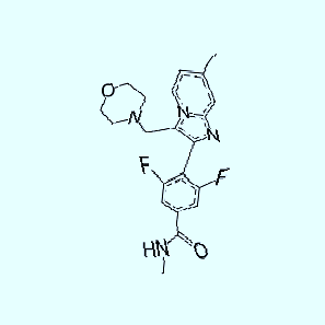 CNC(=O)c1cc(F)c(-c2nc3cc(C)ccn3c2CN2CCOCC2)c(F)c1